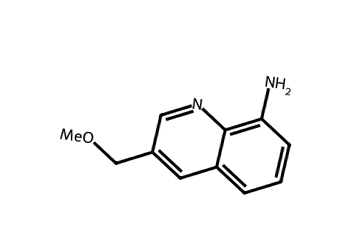 COCc1cnc2c(N)cccc2c1